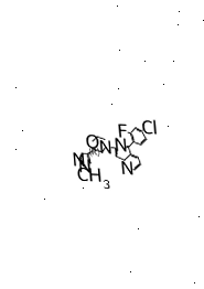 Cn1cc([C@@H]2CN(c3cc4ncccc4c(-c4ccc(Cl)cc4F)n3)CCO2)cn1